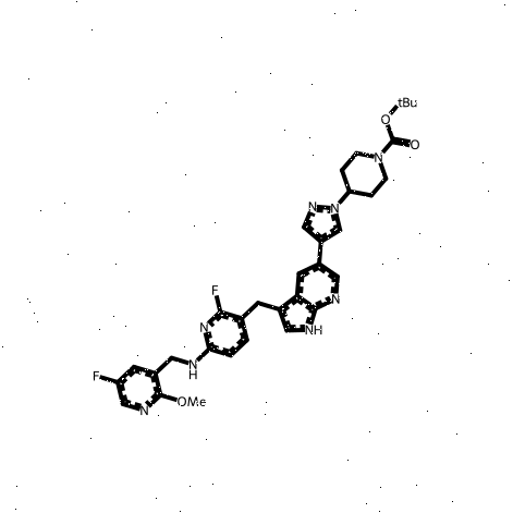 COc1ncc(F)cc1CNc1ccc(Cc2c[nH]c3ncc(-c4cnn(C5CCN(C(=O)OC(C)(C)C)CC5)c4)cc23)c(F)n1